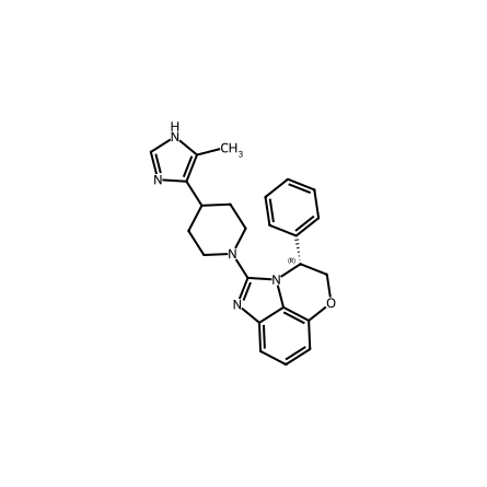 Cc1[nH]cnc1C1CCN(c2nc3cccc4c3n2[C@H](c2ccccc2)CO4)CC1